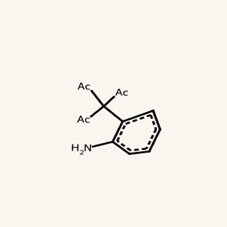 CC(=O)C(C(C)=O)(C(C)=O)c1ccccc1N